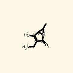 CC1C2C(O)=C(CN)C(=O)N12